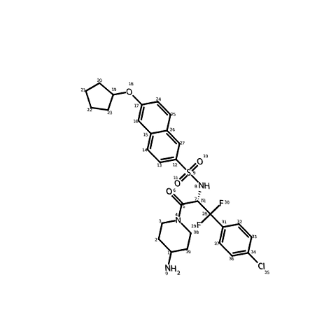 NC1CCN(C(=O)[C@H](NS(=O)(=O)c2ccc3cc(OC4CCCC4)ccc3c2)C(F)(F)c2ccc(Cl)cc2)CC1